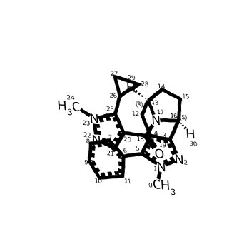 Cn1nc2c(c1-c1ccccc1)C[C@H]1CC[C@@H]2N1C(=O)c1cnn(C)c1C1CC1